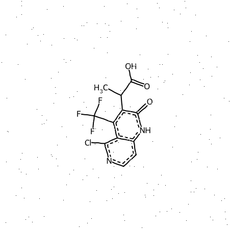 CC(C(=O)O)c1c(C(F)(F)F)c2c(Cl)nccc2[nH]c1=O